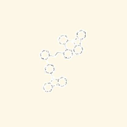 C(=C\c1ccccc1-c1ccccc1-n1c2ccccc2c2ccccc21)/c1ccccc1-c1ccc(-n2c3ccccc3c3ccccc32)cc1